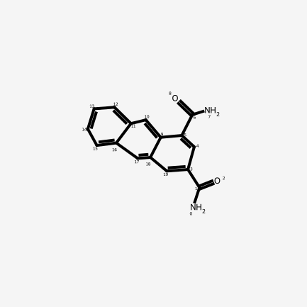 NC(=O)c1cc(C(N)=O)c2cc3ccccc3cc2c1